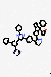 C/C=C\C(=C/C)C1=CC(c2ccccc2)CC(c2cc(-c3ccc(C4=CCCN=C4c4ccc5c(c4)C4(c6ccccc6Oc6ccccc64)c4ccccc4-5)cc3)nc(C3=CCCC=C3)n2)=C1